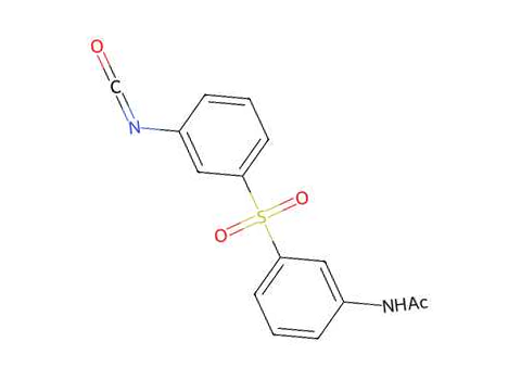 CC(=O)Nc1cccc(S(=O)(=O)c2cccc(N=C=O)c2)c1